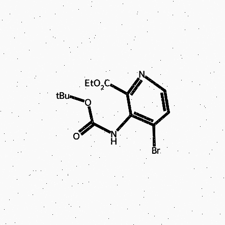 CCOC(=O)c1nccc(Br)c1NC(=O)OC(C)(C)C